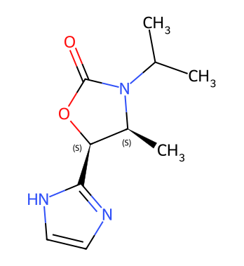 CC(C)N1C(=O)O[C@H](c2ncc[nH]2)[C@@H]1C